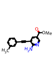 COC(=O)c1cnc(N)c(C#Cc2cccc(C)c2)c1